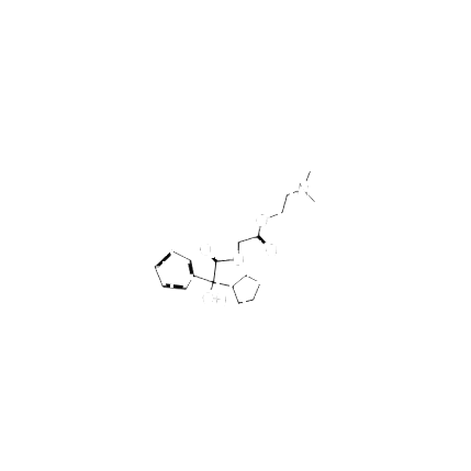 CN(C)CCOC(=O)COC(=O)C(O)(c1ccccc1)C1CCCC1